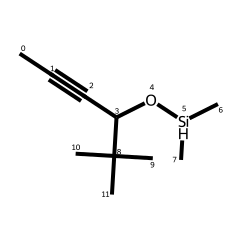 CC#CC(O[SiH](C)C)C(C)(C)C